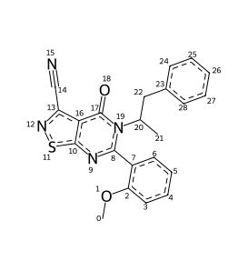 COc1ccccc1-c1nc2snc(C#N)c2c(=O)n1C(C)Cc1ccccc1